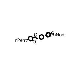 CCCCCCCCCOc1ccc([C@H]2CC[C@H](CC(=O)C3CCC(CCCCC)CC3=O)CC2)cc1